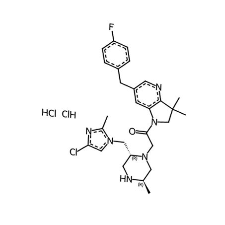 Cc1nc(Cl)cn1C[C@H]1CN[C@H](C)CN1CC(=O)N1CC(C)(C)c2ncc(Cc3ccc(F)cc3)cc21.Cl.Cl